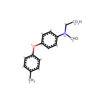 Cc1ccc(Oc2ccc(N(C=O)CC(=O)O)cc2)cc1